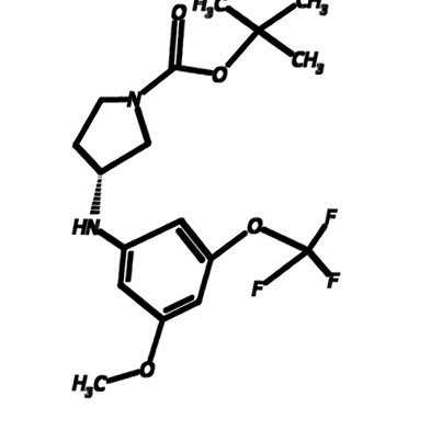 COc1cc(N[C@@H]2CCN(C(=O)OC(C)(C)C)C2)cc(OC(F)(F)F)c1